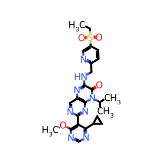 CCS(=O)(=O)c1ccc(CNc2nc3cnc(-c4c(OC)ncnc4C4CC4)nc3n(C(C)C)c2=O)nc1